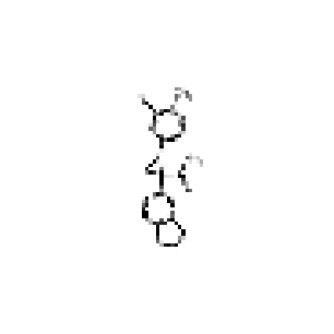 Cc1ccc(C2CC2(C(N)=O)c2ccc3c(c2)CCC3)nc1Cl